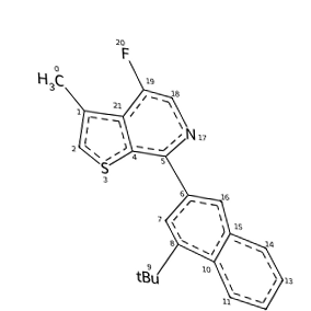 Cc1csc2c(-c3cc(C(C)(C)C)c4ccccc4c3)ncc(F)c12